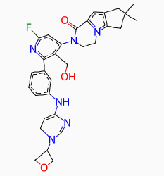 CC1(C)Cc2cc3n(c2C1)CCN(c1cc(F)nc(-c2cccc(NC4=CCN(C5COC5)C=N4)c2)c1CO)C3=O